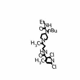 CCCCN(C(=O)NCC)C1CCN([C@H](C)CCNC(=O)c2c(C)cc(Cl)nc2Cl)CC1